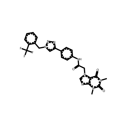 Cn1c(=O)c2c(ncn2CC(=O)Nc2ccc(-c3cn(Cc4ccccc4C(F)(F)F)nn3)cc2)n(C)c1=O